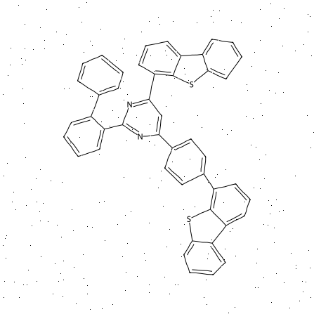 c1ccc(-c2ccccc2-c2nc(-c3ccc(-c4cccc5c4sc4ccccc45)cc3)cc(-c3cccc4c3sc3ccccc34)n2)cc1